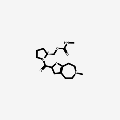 CNC(=O)OC[C@@H]1CCCN1C(=O)C1CC2=C(CCN(C)CC2)S1